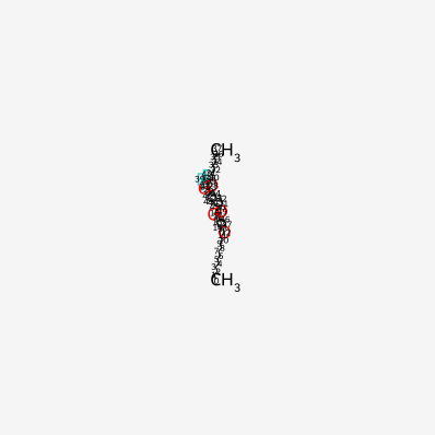 CCCCCCCCCCCCOc1ccc(C(=O)Oc2ccc3cc(C(=O)OC(CCCCCCCC)C(F)(F)F)ccc3c2)cc1